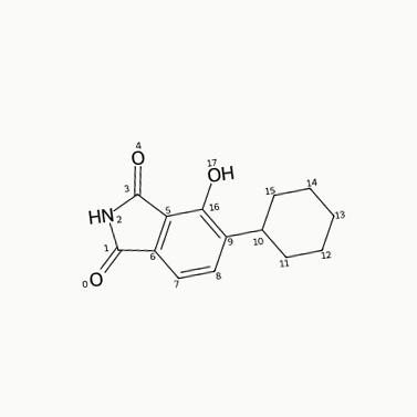 O=C1NC(=O)c2c1ccc(C1CCCCC1)c2O